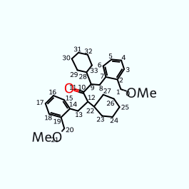 COCc1ccccc1CC(C(=O)C(Cc1ccccc1COC)C1CCCCC1)C1CCCCC1